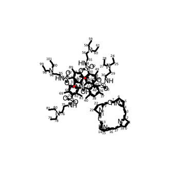 C1=Cc2cc3ccc(cc4nc(cc5ccc(cc1n2)[nH]5)C=C4)[nH]3.CCN(CC)CCNS(=O)(=O)c1c(C)cc(C)[c]([Mn]([OH])([c]2c(C)cc(C)c(S(=O)(=O)NCCN(CC)CC)c2C)([c]2c(C)cc(C)c(S(=O)(=O)NCCN(CC)CC)c2C)[c]2c(C)cc(C)c(S(=O)(=O)NCCN(CC)CC)c2C)c1C